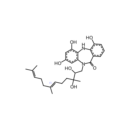 CC(C)=CCC/C(C)=C/CCC(C)(O)C(O)CN1C(=O)c2cccc(O)c2Nc2c(O)cc(O)cc21